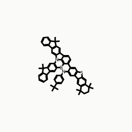 CC(C)(C)c1ccc(N2B3c4cc5c(cc4-n4c6cc7c(cc6c6ccc(c3c64)-c3cc4sc6cc8c(cc6c4cc32)C(C)(C)CCC8(C)C)C(C)(C)c2ccccc2-7)C(C)(C)c2ccccc2-5)cc1